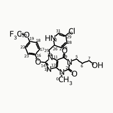 Cn1c(=O)n(CCCO)c(=O)c2c1nc(Oc1ccc(OC(F)(F)F)cc1)n2CC1C=CC(Cl)=CN1